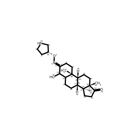 C[C@]12CC/C(=N\O[C@@H]3CCNC3)C(O)C1CC[C@@H]1[C@H]2CC[C@]2(C)C(=O)CC[C@@H]12